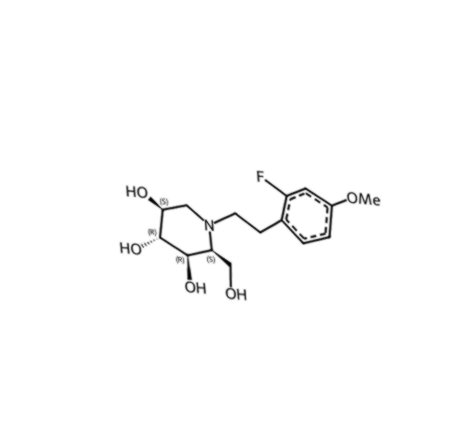 COc1ccc(CCN2C[C@H](O)[C@@H](O)[C@H](O)[C@@H]2CO)c(F)c1